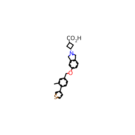 Cc1cc(COc2ccc3c(c2)CN([C@H]2C[C@H](C(=O)O)C2)C3)ccc1-c1ccsc1